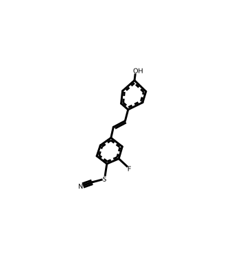 N#CSc1ccc(C=Cc2ccc(O)cc2)cc1F